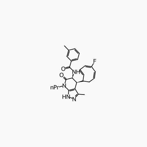 CCCN1C(=O)[C@@H](NC(=O)c2cccc(C)c2)[C@@H](C2/C=C/C=C(F)\C=C/C2)c2c(C)n[nH]c21